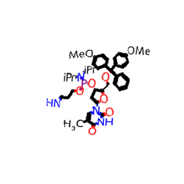 COc1ccc(C(OC[C@H]2O[C@@H](n3cc(C)c(=O)[nH]c3=O)C[C@@H]2OP(OCCC=N)N(C(C)C)C(C)C)(c2ccccc2)c2ccc(OC)cc2)cc1